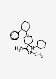 CCN(C1CCCCC1)C1(C(N)=O)CCN([C@@H]2CCCC[C@@H]2c2ccccc2)CC1